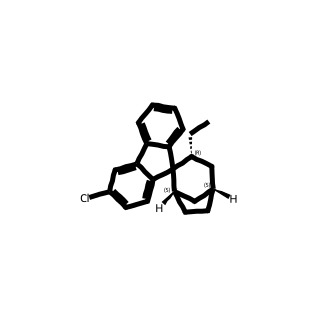 CC[C@@H]1C[C@@H]2CC[C@@H](C2)C12c1ccccc1-c1cc(Cl)ccc12